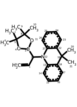 C=CC(B1OC(C)(C)C(C)(C)O1)N1c2ccccc2C(C)(C)c2ccccc21